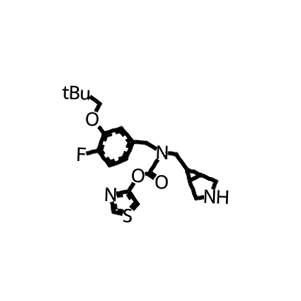 CC(C)(C)COc1cc(CN(CC2C3CNCC32)C(=O)Oc2cscn2)ccc1F